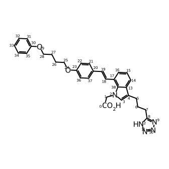 O=C(O)Cn1cc(CCCc2nnn[nH]2)c2cccc(C=Cc3ccc(OCCCCOc4ccccc4)cc3)c21